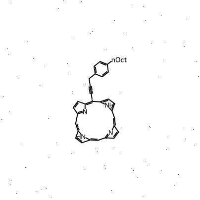 CCCCCCCCc1ccc(CC#Cc2c3nc(cc4ccc(cc5nc(cc6ccc2[nH]6)C=C5)[nH]4)C=C3)cc1